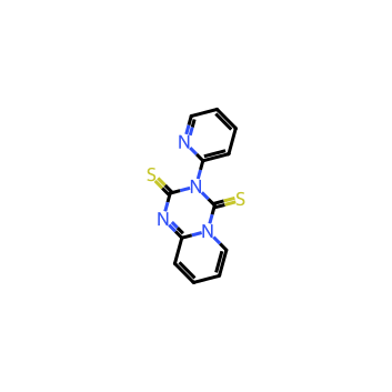 S=c1nc2ccccn2c(=S)n1-c1ccccn1